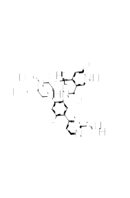 CNc1nccc(-c2cc(NC(=O)c3c[nH]c(=O)cc3C(F)(F)F)c(N3C[C@@H](C)N(C)[C@@H](C)C3)cc2F)n1